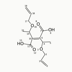 C=CCOC(C)/C(C(=O)O)=C(\C(=O)O)C(C)OCC=C